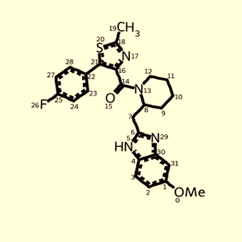 COc1ccc2[nH]c(CC3CCCCN3C(=O)c3nc(C)sc3-c3ccc(F)cc3)nc2c1